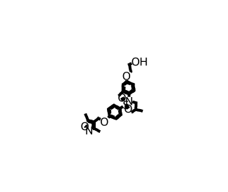 Cc1cc(OCCO)ccc1N(CC(C)C)S(=O)(=O)c1ccc(OCc2c(C)noc2C)cc1